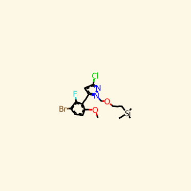 COc1ccc(Br)c(F)c1-c1cc(Cl)nn1COCC[Si](C)(C)C